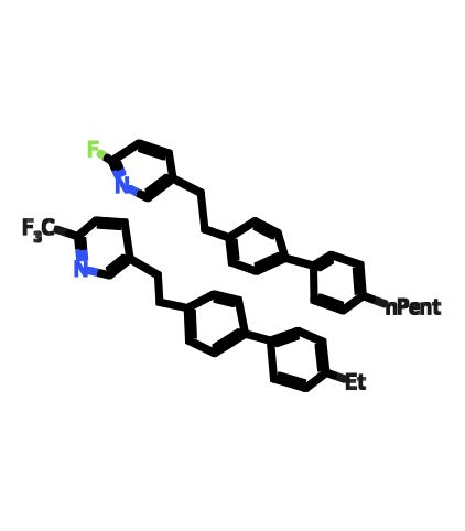 CCCCCc1ccc(-c2ccc(CCc3ccc(F)nc3)cc2)cc1.CCc1ccc(-c2ccc(CCc3ccc(C(F)(F)F)nc3)cc2)cc1